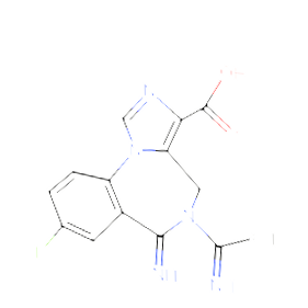 CC(=N)N1Cc2c(C(=O)O)ncn2-c2ccc(F)cc2C1=N